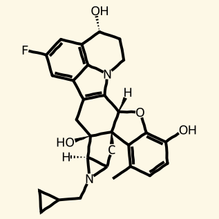 Cc1ccc(O)c2c1[C@]13CC4[C@@H](N4CC4CC4)[C@]1(O)Cc1c(n4c5c(cc(F)cc15)[C@H](O)CC4)[C@@H]3O2